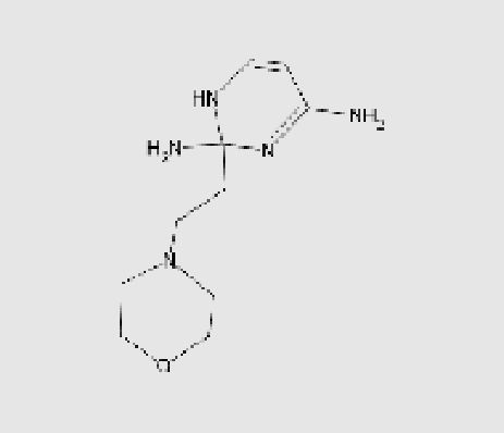 NC1=NC(N)(CCN2CCOCC2)NC=C1